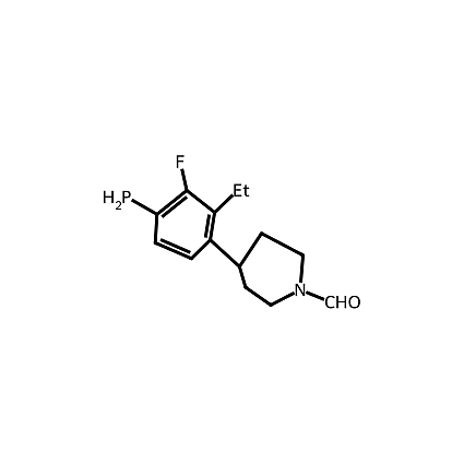 CCc1c(C2CCN(C=O)CC2)ccc(P)c1F